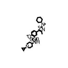 COc1ccc(-c2sc(N(C)C3CCCCC3)nc2C)cc1S(=O)(=O)NC1CCN(C2CC2)CC1